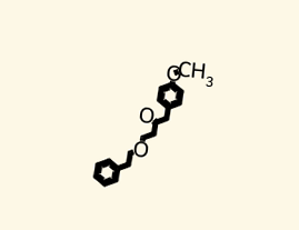 COc1ccc(CC(=O)CCOCCc2ccccc2)cc1